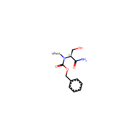 CCCCCN(C(=O)OCc1ccccc1)[C@@H](CO)C(N)=O